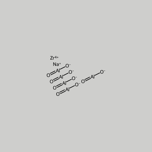 [Na+].[O]=[Al][O-].[O]=[Al][O-].[O]=[Al][O-].[O]=[Al][O-].[O]=[Al][O-].[Zr+4]